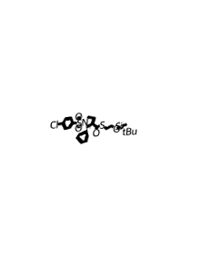 CC(C)(C)[Si](C)(C)OCCSC(=O)C1=CCN(S(=O)(=O)c2ccc(Cl)cc2)[C@H]1c1ccccc1